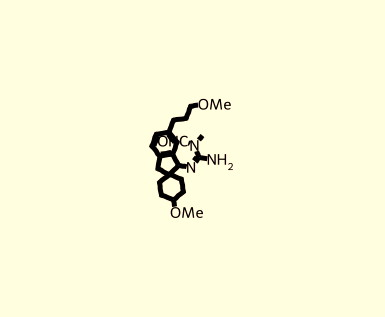 COCCCc1ccc2c(c1)C(/N=C(/N)N(C)C=O)C1(CCC(OC)CC1)C2